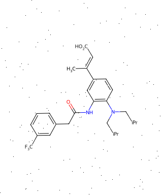 C/C(=C\C(=O)O)c1ccc(N(CC(C)C)CC(C)C)c(NC(=O)Cc2cccc(C(F)(F)F)c2)c1